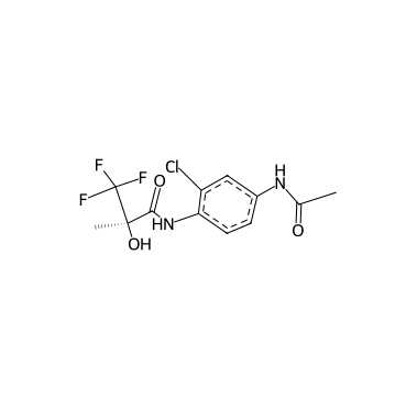 CC(=O)Nc1ccc(NC(=O)[C@@](C)(O)C(F)(F)F)c(Cl)c1